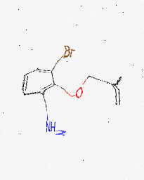 C=C(C)COc1c(N)cccc1Br